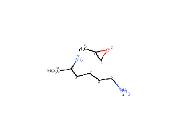 CC1CO1.NCCCCC(N)C(=O)O